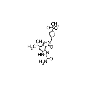 CC(C)c1cc(C(=O)NCc2ccc(S(C)(=O)=O)cc2)c2nc(C(N)=O)[nH]c2c1